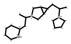 CC(CC1C2CN(C(C)CC3CCCCN3)CC12)N1CCCC1